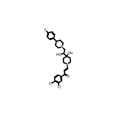 O=C(C=CN1CCC(O)(C(O)CN2CCC(c3ccc(F)cc3)CC2)CC1)c1ccc(Cl)c(Cl)c1